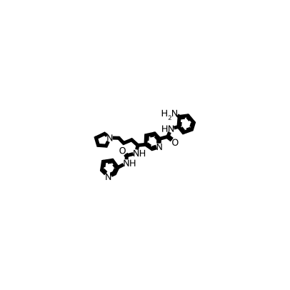 Nc1ccccc1NC(=O)c1ccc(C(CCCN2CCCC2)NC(=O)Nc2cccnc2)cn1